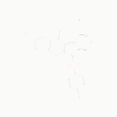 Cc1ccc(S(=O)(=O)n2c3cccc(OC(C)C)c3c3c(C)c(C=C(Br)Br)ncc32)cc1